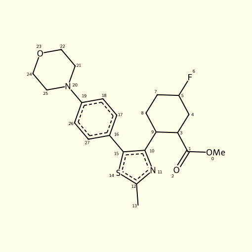 COC(=O)C1CC(F)CCC1c1nc(C)sc1-c1ccc(N2CCOCC2)cc1